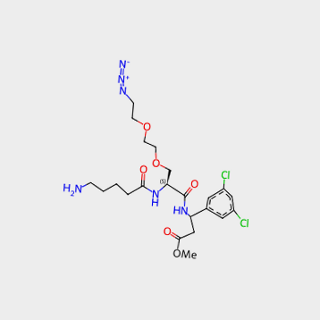 COC(=O)CC(NC(=O)[C@H](COCCOCCN=[N+]=[N-])NC(=O)CCCCN)c1cc(Cl)cc(Cl)c1